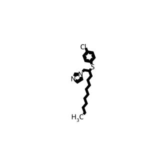 CCCCCCCCCCC(Cn1ccnc1)Sc1ccc(Cl)cc1